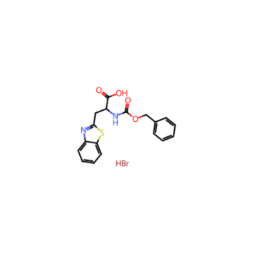 Br.O=C(NC(Cc1nc2ccccc2s1)C(=O)O)OCc1ccccc1